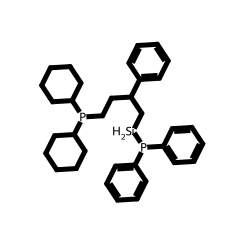 c1ccc(C(CCP(C2CCCCC2)C2CCCCC2)C[SiH2]P(c2ccccc2)c2ccccc2)cc1